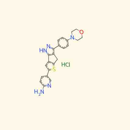 Cl.Nc1ccc(-c2cc3c(s2)Cc2c(-c4ccc(N5CCOCC5)cc4)n[nH]c2-3)cn1